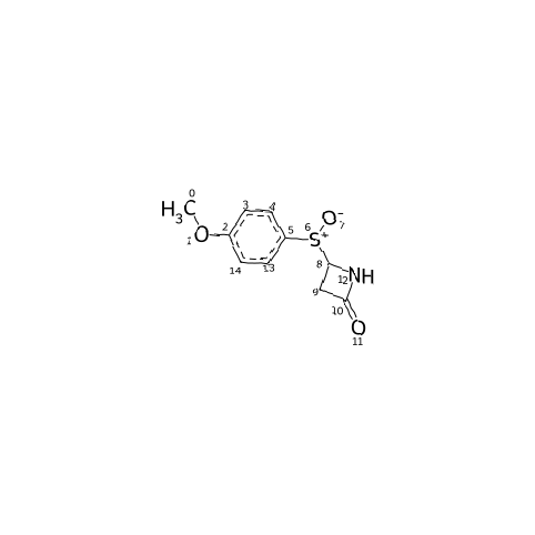 COc1ccc([S+]([O-])C2CC(=O)N2)cc1